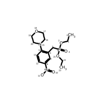 CCOP(=O)(Cc1cc([N+](=O)[O-])ccc1N1CCOCC1)OCC